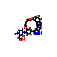 CN1CCN(c2ccc3cc2OCCCOCc2cccc(F)c2-c2cc4c-3n[nH]c4cn2)CC1CO